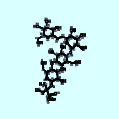 CCSC(C)(O[C@@H]1O[C@H](CO)[C@@H](O[C@H]2O[C@H](CO)[C@@H](O[C@H]3O[C@H](CO[C@H]4O[C@H](CO)[C@@H](O)[C@H](O)[C@H]4O)[C@@H](O)[C@H](O)[C@H]3O)[C@H](O)[C@H]2O)[C@H](O)[C@H]1O)C(=O)OC